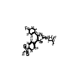 CC(C)CNc1nc(-c2ccc(F)cc2)c(-c2ccc(S(C)(=O)=O)cc2)s1